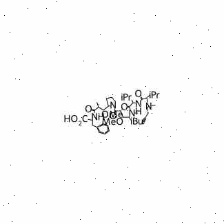 C#CCCN(C)C(C(=O)NC(C(=O)N(C)C(C(C)CC)C(CC(=O)N1CCCC1C(OC)C(C)C(=O)NC(Cc1ccccc1)C(=O)O)OC)C(C)C)C(C)C